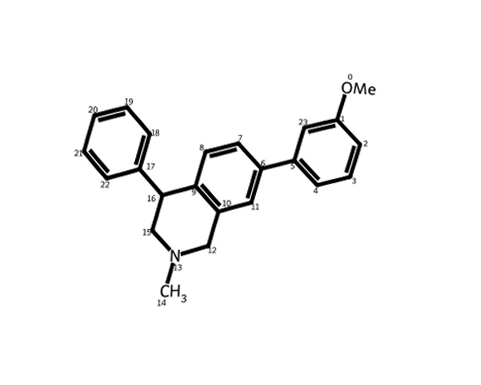 COc1cccc(-c2ccc3c(c2)CN(C)CC3c2ccccc2)c1